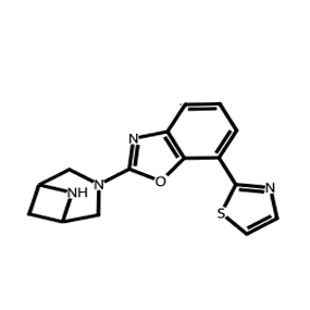 [c]1ccc(-c2nccs2)c2oc(N3CC4CC(C3)N4)nc12